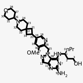 CCC[C@@H](CCO)Nc1nc(N)nc2cnn(Cc3ncc(C4CC5(CCN(C6CCOCC6)CC5)C4)cc3OC)c12